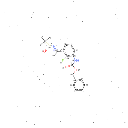 C/C(=N\[S@+]([O-])C(C)(C)C)c1cccc(NC(=O)OCc2ccccc2)c1F